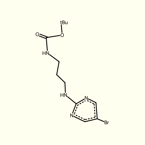 CC(C)(C)OC(=O)NCCCNc1ncc(Br)cn1